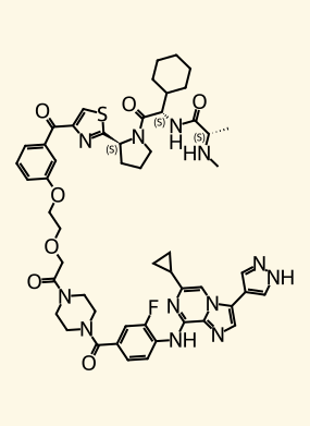 CN[C@@H](C)C(=O)N[C@H](C(=O)N1CCC[C@H]1c1nc(C(=O)c2cccc(OCCOCC(=O)N3CCN(C(=O)c4ccc(Nc5nc(C6CC6)cn6c(-c7cn[nH]c7)cnc56)c(F)c4)CC3)c2)cs1)C1CCCCC1